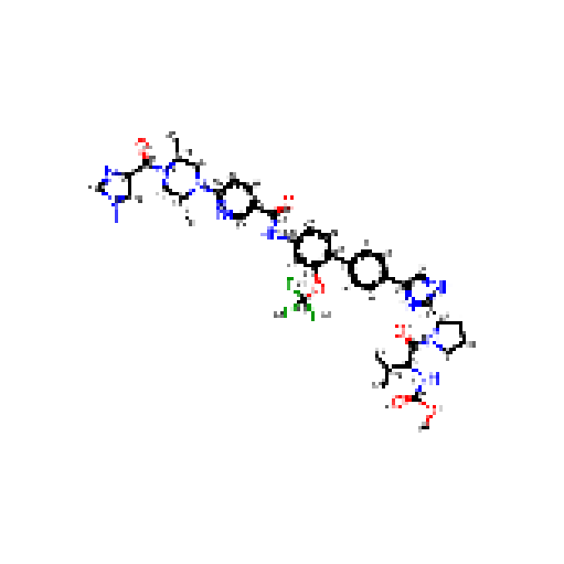 COC(=O)N[C@H](C(=O)N1CCC[C@H]1c1nc(-c2ccc(-c3ccc(NC(=O)c4ccc(N5C[C@H](C)N(C(=O)C6CNC=N6)C[C@H]5C)nc4)cc3OC(F)(F)F)cc2)c[nH]1)C(C)C